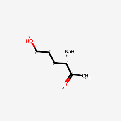 CC(=O)CCCCO.[NaH]